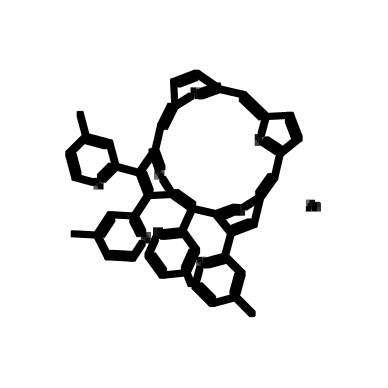 Cc1ccnc(C2=CC3=CC4=NC(=CC5=NC(=CC6=NC(=C(c7cc(C)ccn7)C2=N3)C(c2cc(C)ccn2)=C6c2cc(C)ccn2)C=C5)C=C4)c1.[Zn]